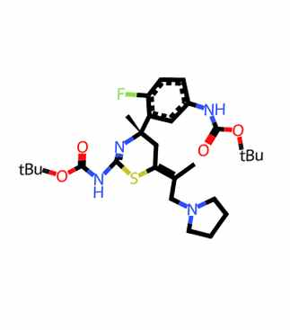 C/C(CN1CCCC1)=C1\C[C@@](C)(c2cc(NC(=O)OC(C)(C)C)ccc2F)N=C(NC(=O)OC(C)(C)C)S1